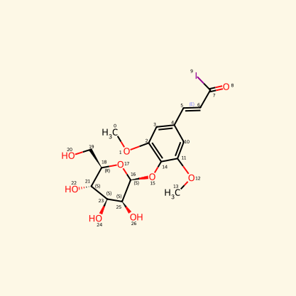 COc1cc(/C=C/C(=O)I)cc(OC)c1O[C@@H]1O[C@H](CO)[C@@H](O)[C@H](O)[C@@H]1O